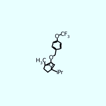 CC(C)C12CCC(C)(O1)C(OCc1ccc(OC(F)(F)F)cc1)C2